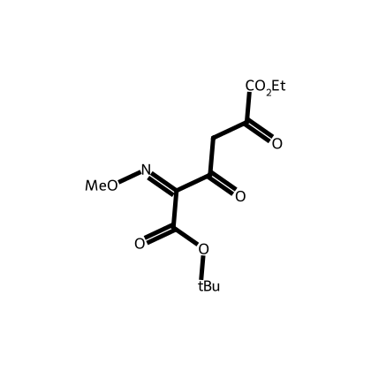 CCOC(=O)C(=O)CC(=O)C(=NOC)C(=O)OC(C)(C)C